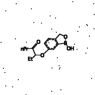 CCCC(=O)C(CC)Oc1ccc2c(c1)B(O)OC2